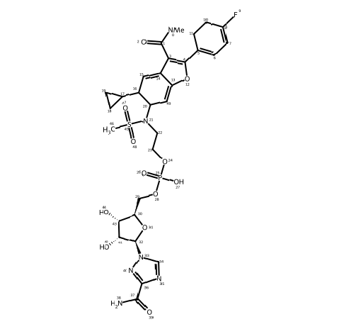 CNC(=O)c1c(C2=CC=C(F)CC2)oc2c1=CC(C1CC1)C(N(CCOP(=O)(O)OC[C@H]1O[C@@H](n3cnc(C(N)=O)n3)[C@H](O)[C@@H]1O)S(C)(=O)=O)C=2